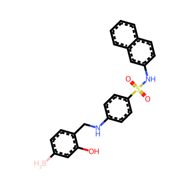 Bc1ccc(CNc2ccc(S(=O)(=O)Nc3ccc4ccccc4c3)cc2)c(O)c1